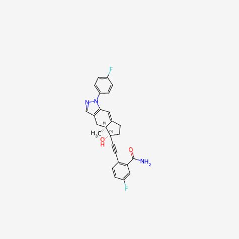 C[C@]12Cc3cnn(-c4ccc(F)cc4)c3C=C1CC[C@@]2(O)C#Cc1ccc(F)cc1C(N)=O